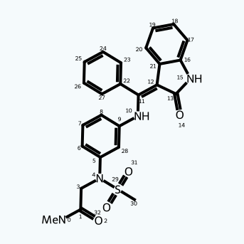 CNC(=O)CN(c1cccc(N/C(=C2\C(=O)Nc3ccccc32)c2ccccc2)c1)S(C)(=O)=O